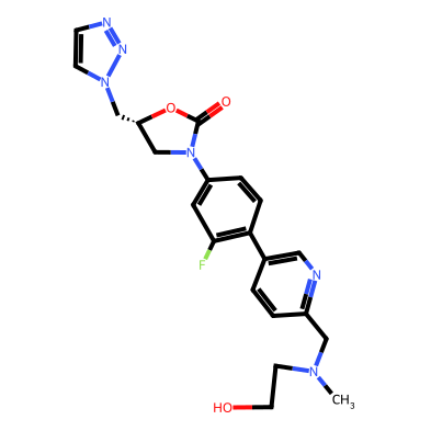 CN(CCO)Cc1ccc(-c2ccc(N3C[C@H](Cn4ccnn4)OC3=O)cc2F)cn1